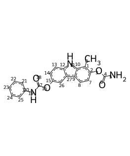 Cc1c(OC(N)=O)ccc2c1[nH]c1ccc(OC(=O)Nc3ccccc3)cc12